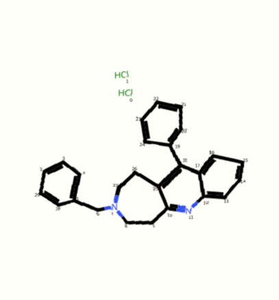 Cl.Cl.c1ccc(CN2CCc3nc4ccccc4c(-c4ccccc4)c3CC2)cc1